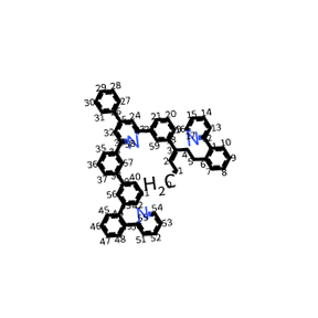 C=C/C=C(\CCc1ccccc1-c1ccccn1)c1cccc(-c2cc(-c3ccccc3)cc(-c3cccc(-c4cccc(-c5ccccc5-c5ccccn5)c4)c3)n2)c1